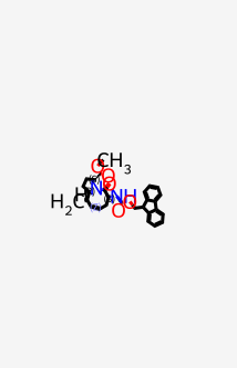 C=C1/C=C\C[C@H](NC(=O)OCC2c3ccccc3-c3ccccc32)C(=O)N2[C@@H]1CC[C@H]2C(=O)OC